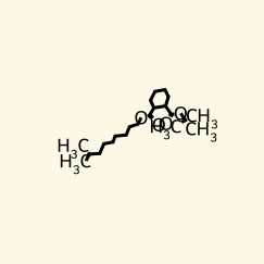 CC(C)CCCCCCCOC(=O)C1CCCCC1C(=O)OC(C)(C)C